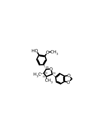 COc1cc([C@@H]2O[C@H](c3ccc4c(c3)OCO4)[C@@H](C)[C@@H]2C)ccc1O